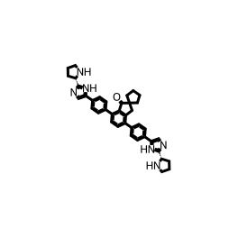 O=C1c2c(-c3ccc(-c4cnc([C@@H]5CCCN5)[nH]4)cc3)ccc(-c3ccc(-c4cnc([C@@H]5CCCN5)[nH]4)cc3)c2CC12CCCC2